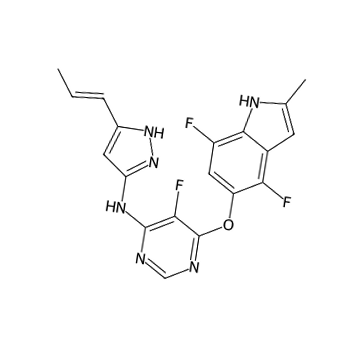 C/C=C/c1cc(Nc2ncnc(Oc3cc(F)c4[nH]c(C)cc4c3F)c2F)n[nH]1